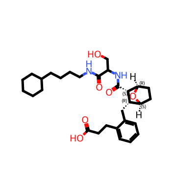 O=C(O)CCc1ccccc1C[C@@H]1[C@H](C(=O)NC(CO)C(=O)NCCCCC2CCCCC2)[C@H]2CC[C@@H]1O2